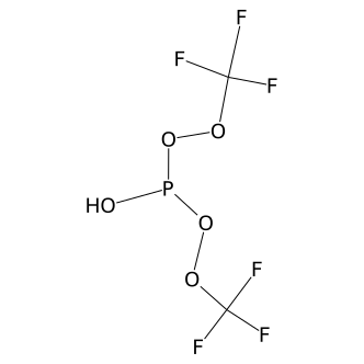 OP(OOC(F)(F)F)OOC(F)(F)F